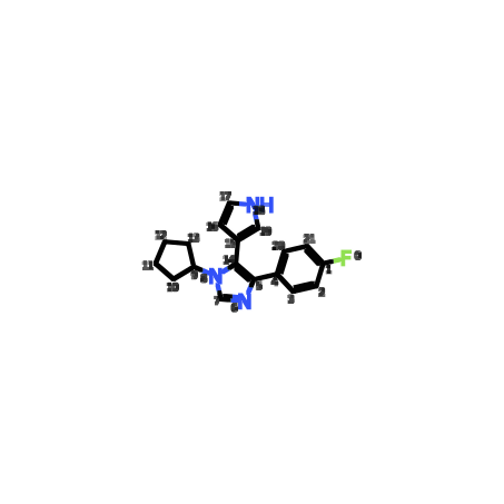 Fc1ccc(-c2ncn(C3CCCC3)c2-c2cc[nH]c2)cc1